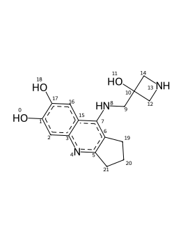 Oc1cc2nc3c(c(NCC4(O)CNC4)c2cc1O)CCC3